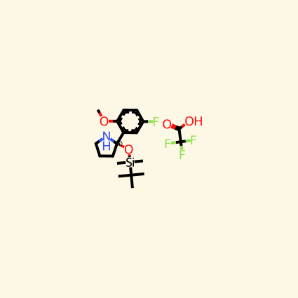 COc1ccc(F)cc1[C@]1(O[Si](C)(C)C(C)(C)C)CCCN1.O=C(O)C(F)(F)F